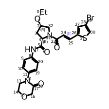 CCO[C@@H]1C[C@H](C(=O)Nc2ccc(N3CCOCC3=O)cc2)N(C(=O)/C=C/c2cc(Br)cs2)C1